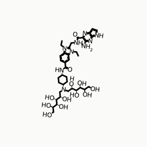 CCn1c(CNC(=O)c2nc3cc[nH]c3nc2N)[n+](CC)c2ccc(C(=O)N[C@H]3CC[C@@H](N(C[C@H](O)[C@@H](O)[C@H](O)[C@H](O)CO)C[C@H](O)[C@@H](O)[C@H](O)[C@H](O)CO)CC3)cc21